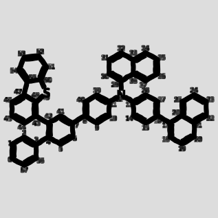 c1ccc(-c2ccc(-c3ccc(N(c4ccc(-c5cccc6ccccc56)cc4)c4cccc5ccccc45)cc3)cc2-c2cccc3c2sc2ccccc23)cc1